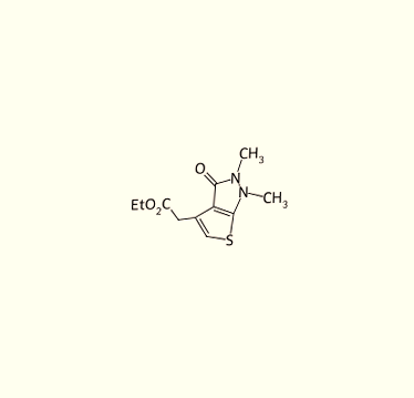 CCOC(=O)Cc1csc2c1c(=O)n(C)n2C